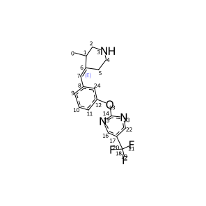 CC1CNCC/C1=C\c1cccc(Oc2ncc(C(F)(F)F)cn2)c1